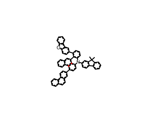 CC1(C)c2ccccc2-c2ccc(N(c3ccc(-c4ccc5c(ccc6ccccc65)c4)cc3)c3cccc(-c4ccc5oc6ccccc6c5c4)c3-c3ccc4ccccc4c3)cc21